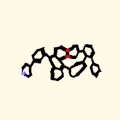 c1ccc(-c2cccc(-c3ccccc3)c2-c2cccc(-c3c4ccccc4c(-c4cccc(-c5ccncc5)c4)c4ccccc34)c2)cc1